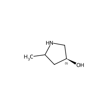 CC1C[C@H](O)CN1